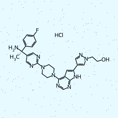 C[C@](N)(c1ccc(F)cc1)c1cnc(N2CCN(c3ncnc4[nH]c(-c5cnn(CCO)c5)cc34)CC2)nc1.Cl